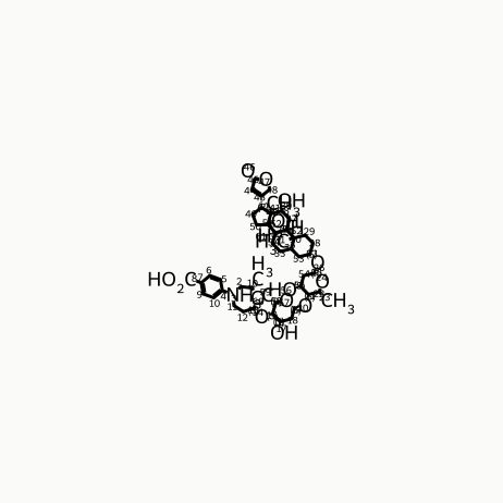 CC1CN(c2ccc(C(=O)O)cc2)CC[C@H](O[C@H]2[C@@H](O)C[C@H](O[C@@H]3C(C)O[C@@H](O[C@H]4CCC5(C)C(CC[C@@H]6[C@@H]5CC(O)C5(C)[C@@H](C7=CC(=O)OC7)CCC65O)C4)C[C@@H]3O)O[C@@H]2C)O1